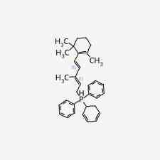 CC1=C(/C=C/C(C)=C/C[PH](c2ccccc2)(c2ccccc2)C2C=CC=CC2)C(C)(C)CCC1